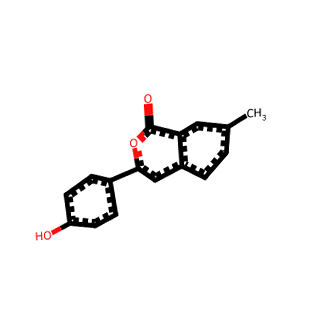 Cc1ccc2cc(-c3ccc(O)cc3)oc(=O)c2c1